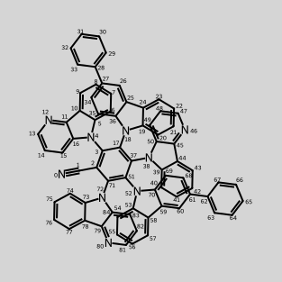 N#Cc1c(-n2c3ccccc3c3ncccc32)c(-n2c3ccccc3c3cc(-c4ccccc4)ccc32)c(-n2c3ccccc3c3ncccc32)c(-n2c3ccccc3c3cc(-c4ccccc4)ccc32)c1-n1c2ccccc2c2ncccc21